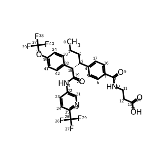 CCCC(c1ccc(C(=O)NCCC(=O)O)cc1)[C@H](C(=O)Nc1ccc(C(F)(F)F)nc1)c1ccc(OC(F)(F)F)cc1